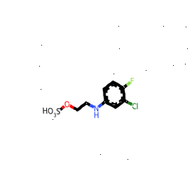 O=S(=O)(O)OCCNc1ccc(F)c(Cl)c1